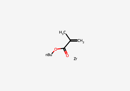 C=C(C)C(=O)OCCCC.[Zr]